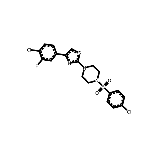 O=S(=O)(c1ccc(Cl)cc1)N1CCN(c2nc(-c3ccc(Cl)c(F)c3)cs2)CC1